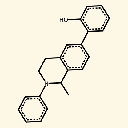 CC1c2ccc(-c3ccccc3O)cc2CCN1c1ccccc1